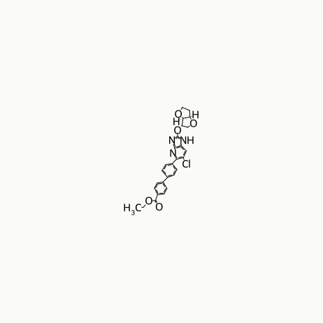 CCOC(=O)c1ccc(-c2ccc(-c3nc4nc(OC5CO[C@@H]6CCO[C@H]56)[nH]c4cc3Cl)cc2)cc1